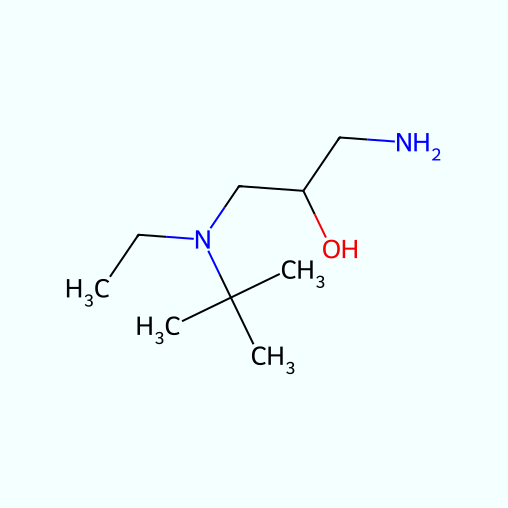 CCN(CC(O)CN)C(C)(C)C